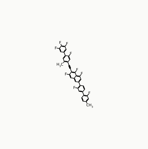 Cc1ccc(-c2ccc(-c3cc(F)c4c(F)c(C#Cc5cc(F)c(-c6cc(F)c(F)c(F)c6)cc5C)c(F)cc4c3)c(F)c2)c(F)c1